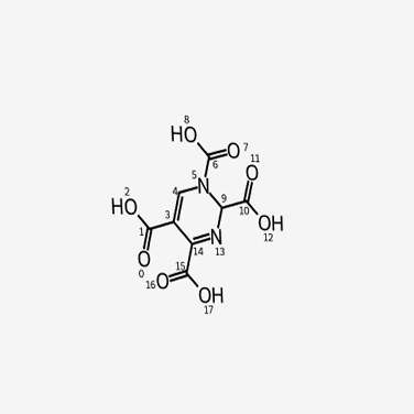 O=C(O)C1=CN(C(=O)O)C(C(=O)O)N=C1C(=O)O